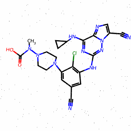 CN(C(=O)O)N1CCN(c2cc(C#N)cc(Nc3nc(NC4CC4)c4ncc(C#N)n4n3)c2Cl)CC1